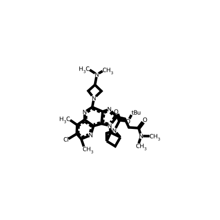 Cc1nc2c(nc(N3CC(N(C)C)C3)c3nc(CCC(=O)N(C)C)n(C4C5CC4N(C(=O)OC(C)(C)C)C5)c32)c(C)c1Cl